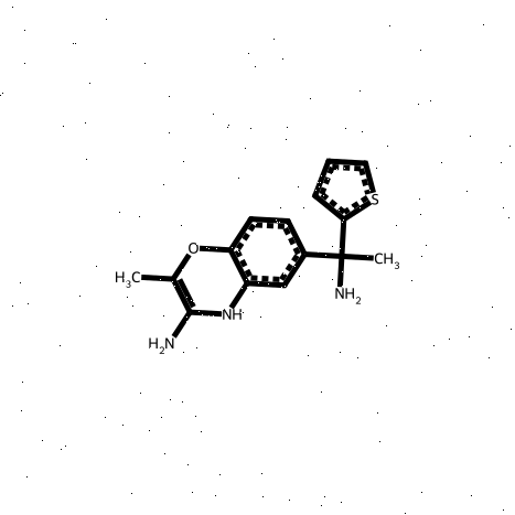 CC1=C(N)Nc2cc(C(C)(N)c3cccs3)ccc2O1